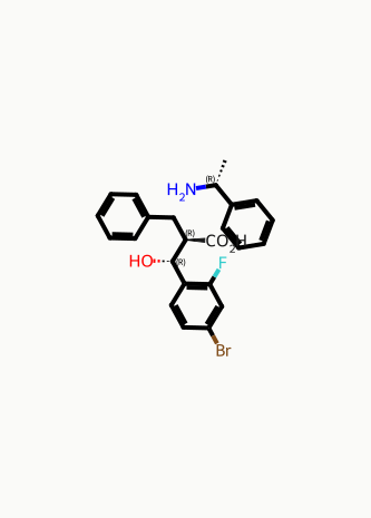 C[C@@H](N)c1ccccc1.O=C(O)[C@H](Cc1ccccc1)[C@@H](O)c1ccc(Br)cc1F